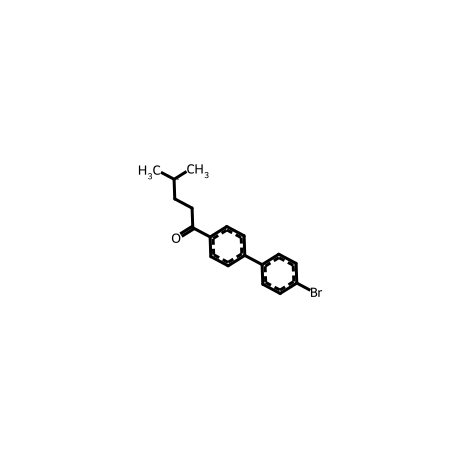 C[C](C)CCC(=O)c1ccc(-c2ccc(Br)cc2)cc1